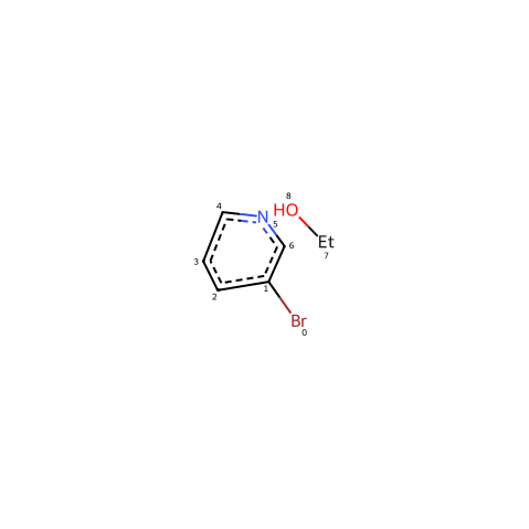 Brc1cccnc1.CCO